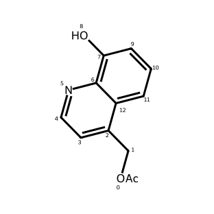 CC(=O)OCc1ccnc2c(O)cccc12